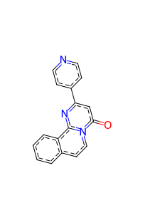 O=c1cc(-c2ccncc2)nc2c3ccccc3ccn12